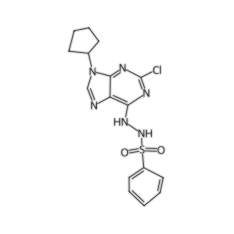 O=S(=O)(NNc1nc(Cl)nc2c1ncn2C1CCCC1)c1ccccc1